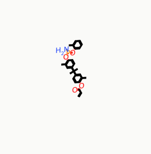 C=CC(=O)Oc1ccc(C(C)(C)c2ccc(OP(N)Oc3ccccc3C)c(C)c2)cc1C